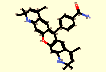 CC1=CC(C)(C)Nc2cc3c(cc21)C(c1ccc(C(N)=O)cc1)=c1cc2c(cc1O3)=NC(C)(C)C=C2C